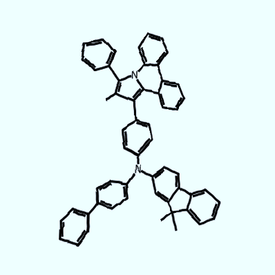 Cc1c(-c2ccc(N(c3ccc(-c4ccccc4)cc3)c3ccc4c(c3)C(C)(C)c3ccccc3-4)cc2)c2c3ccccc3c3ccccc3n2c1-c1ccccc1